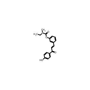 CCN(C)C(=O)Oc1cccc(/C=C/C(=O)c2ccc(O)cc2)c1